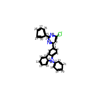 Clc1cc(-c2ccc3c(c2)c2ccccc2n3-c2ccccc2)nc(-c2ccccc2)n1